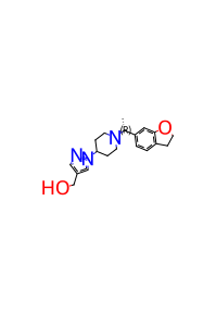 C[C@H](c1ccc2c(c1)OCC2)N1CCC(n2cc(CO)cn2)CC1